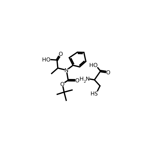 CC(C(=O)O)N(C(=O)OC(C)(C)C)c1ccccc1.NC(CS)C(=O)O